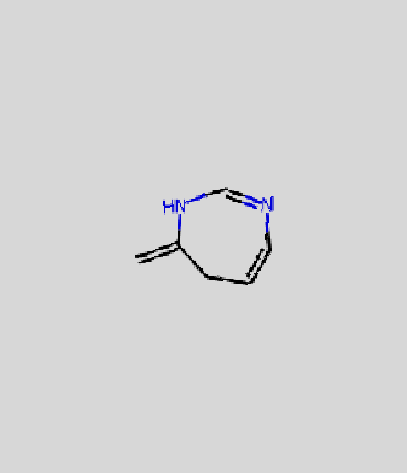 C=C1CC=CN=CN1